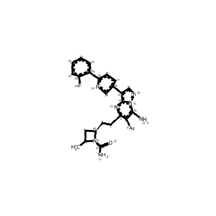 CC(=O)c1c(CC[C@@H]2CC(C)N2C(N)=O)nc2c(-c3ccc(-c4ccccc4F)nc3)cnn2c1N